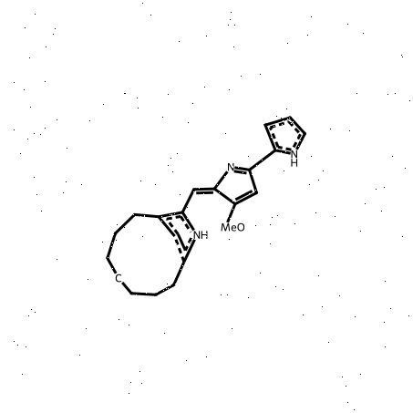 COC1=CC(c2ccc[nH]2)=N/C1=C/c1[nH]c2cc1CCCCCCC2